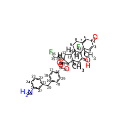 C[C@]12C=CC(=O)C=C1CC[C@H]1[C@@H]3C[C@H]4O[C@@H](c5ccc(Cc6cccc(N)c6)cc5)O[C@@]4(C(=O)SCF)[C@@]3(C)C[C@H](O)[C@@]12F